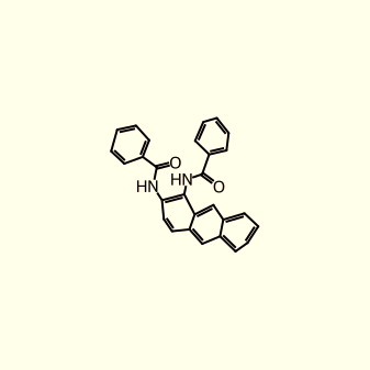 O=C(Nc1ccc2cc3ccccc3cc2c1NC(=O)c1ccccc1)c1ccccc1